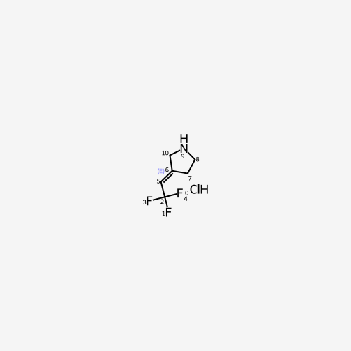 Cl.FC(F)(F)/C=C1\CCNC1